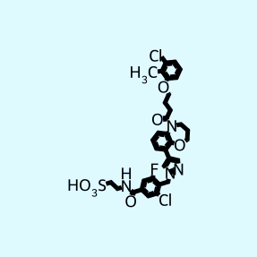 Cc1c(Cl)cccc1OCCCC(=O)N1CCCOc2c(-c3cnn(Cc4c(F)cc(C(=O)NCCS(=O)(=O)O)cc4Cl)c3)cccc21